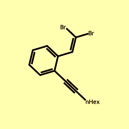 CCCCCCC#Cc1ccccc1C=C(Br)Br